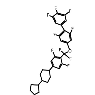 Fc1cc(-c2c(F)cc(OC(F)(F)c3c(F)cc(C4CCC(C5CCCC5)CC4)cc3F)cc2F)cc(F)c1F